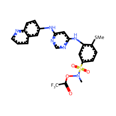 CSc1ccc(S(=O)(=O)N(C)OC(=O)C(F)(F)F)cc1Nc1cc(Nc2ccc3ncccc3c2)ncn1